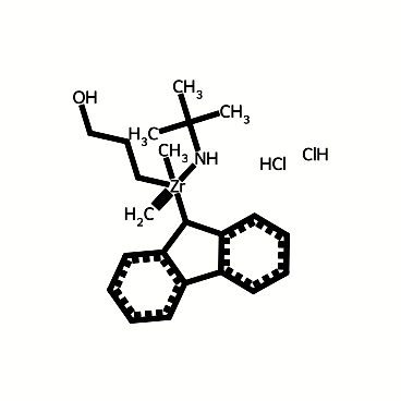 Cl.Cl.[CH2]=[Zr]([CH3])([CH2]CCO)([NH]C(C)(C)C)[CH]1c2ccccc2-c2ccccc21